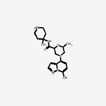 CC1CN(c2ccc(C#N)n3nccc23)CC(C(=O)NC2(C)CCNCC2)O1